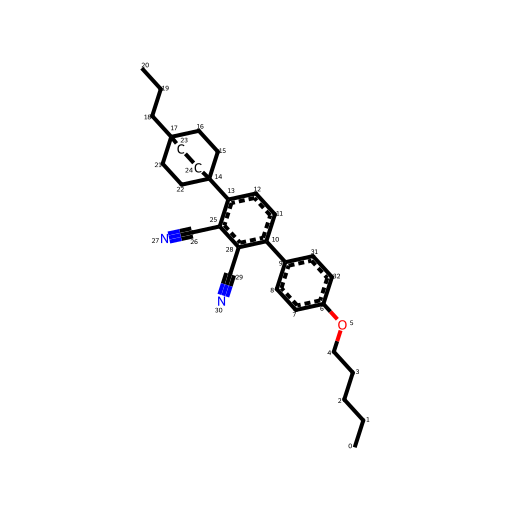 CCCCCOc1ccc(-c2ccc(C34CCC(CCC)(CC3)CC4)c(C#N)c2C#N)cc1